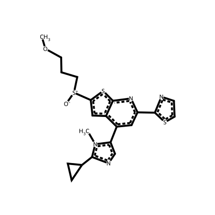 COCCC[S+]([O-])c1cc2c(-c3cnc(C4CC4)n3C)cc(-c3nccs3)nc2s1